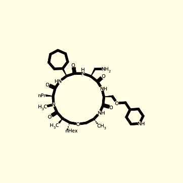 CCCCCC[C@H]1OC[C@@H](C)NC(=O)[C@H](COCC2CCNCC2)NC(=O)[C@H](CN)NC(=O)[C@H](C2CCCCCC2)NC(=O)[C@H](CCC)N(C)C(=O)[C@@H]1C